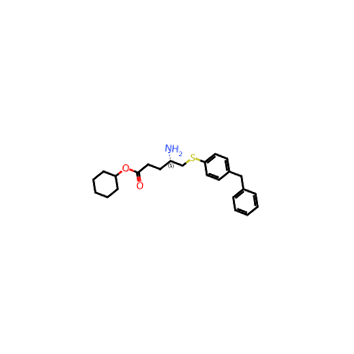 N[C@@H](CCC(=O)OC1CCCCC1)CSc1ccc(Cc2ccccc2)cc1